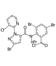 CCCN(C(=O)c1cc(Br)nn1-c1ncccc1Cl)c1c(Br)cc(Br)cc1C(=O)Cl